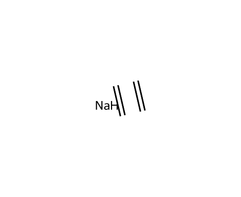 C=C.C=C.[NaH]